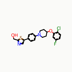 OCc1ncc(-c2ccc(N3CCC(Oc4cc(F)ccc4Cl)CC3)cc2)s1